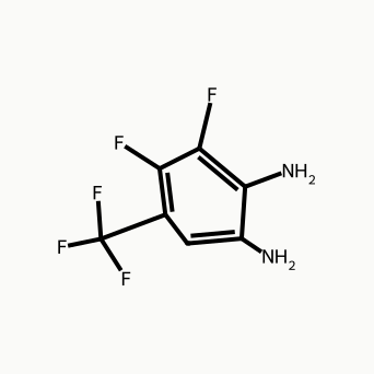 Nc1cc(C(F)(F)F)c(F)c(F)c1N